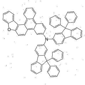 c1ccc(C2(c3ccccc3)c3ccccc3-c3ccc(N(c4ccc5c(c4)C(c4ccccc4)(c4ccccc4)c4ccccc4-5)c4ccc5c6ccccc6c6c(ccc7oc8ccccc8c76)c5c4)cc32)cc1